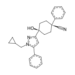 N#C[C@]1(c2ccccc2)CC[C@@](O)(c2cc(-c3ccccc3)n(CC3CC3)n2)CC1